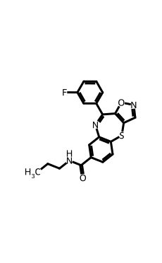 CCCNC(=O)c1ccc2c(c1)N=C(c1cccc(F)c1)c1oncc1S2